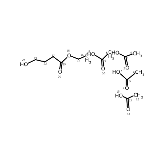 CC(=O)O.CC(=O)O.CC(=O)O.CC(=O)O.CCOC(=O)CCCO